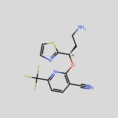 N#Cc1ccc(C(F)(F)F)nc1O[C@H](CCN)c1nccs1